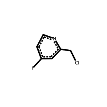 ClCc1cc(I)ccn1